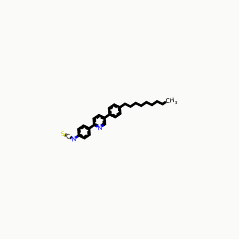 CCCCCCCCCc1ccc(-c2ccc(-c3ccc(N=C=S)cc3)nc2)cc1